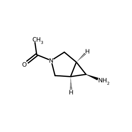 CC(=O)N1C[C@@H]2[C@H](N)[C@@H]2C1